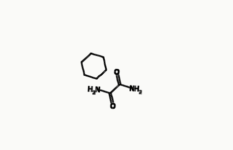 C1CCCCC1.NC(=O)C(N)=O